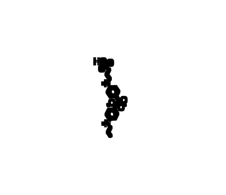 CCCN(C)c1ccc(C(OC)(OC)C(=O)c2ccc(N(C)CCCS(=O)(=O)O)cc2)cc1